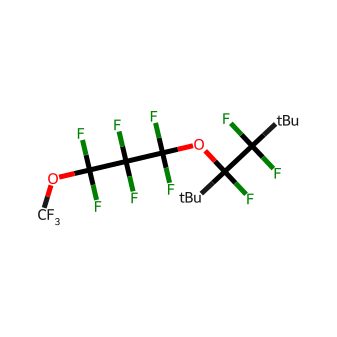 CC(C)(C)C(F)(F)C(F)(OC(F)(F)C(F)(F)C(F)(F)OC(F)(F)F)C(C)(C)C